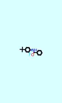 CC(C)(C)c1ccc(NC(=O)c2ccccc2)c(F)c1